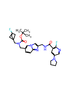 CC(C)(C)OC(=O)N(Cc1ccc2nc(CNC(=O)c3cc(N4CCCC4)cnc3F)cn2c1)CC12CC(F)(C1)C2